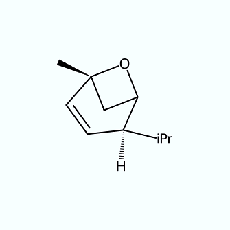 CC(C)[C@H]1C=C[C@@]2(C)CC1O2